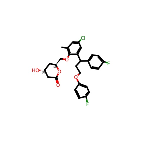 Cc1cc(Cl)cc(C(CCOc2ccc(F)cc2)c2ccc(F)cc2)c1OC[C@@H]1C[C@@H](O)CC(=O)O1